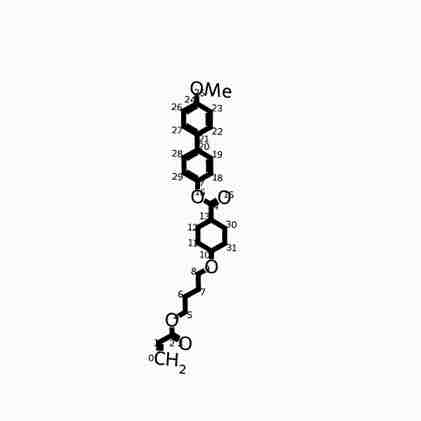 C=CC(=O)OCCCCOC1CCC(C(=O)Oc2ccc(-c3ccc(OC)cc3)cc2)CC1